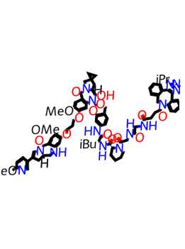 CC[C@H](C)[C@H](NC(=O)[C@H]1CCCCN1C(=O)CNC(=O)CNC(=O)CCC(=O)N1Cc2ccccc2C2=C(NNN2C(C)C)c2ccccc21)C(=O)Nc1ccc(COC(=O)N2c3cc(OCCCOc4cc5c(cc4OC)C(=O)N4C=C(c6ccc(OC)nc6)C[C@H]4CN5)c(OC)cc3C(=O)N3CC4(CC4)C[C@H]3C2O)cc1